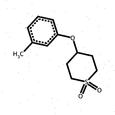 Cc1[c]ccc(OC2CCS(=O)(=O)CC2)c1